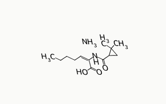 CCCCC=C(NC(=O)C1CC1(C)C)C(=O)O.N